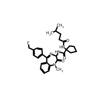 CC(C)CCC(=O)NC1(C(=O)NC2N=C(c3ccc(CF)cc3)c3ccccc3N(C)C2=O)CCCC1